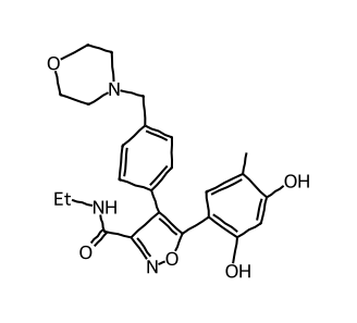 CCNC(=O)c1noc(-c2cc(C)c(O)cc2O)c1-c1ccc(CN2CCOCC2)cc1